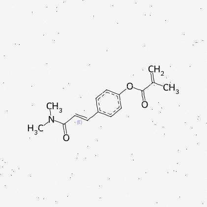 C=C(C)C(=O)Oc1ccc(/C=C/C(=O)N(C)C)cc1